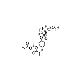 C=C(C)C(=O)OC(C)OC(=O)C(C)Sc1ccc(OS(=O)(=O)C(F)(F)C(F)(F)C(F)(F)S(=O)(=O)O)cc1